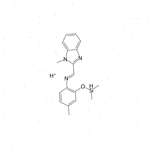 Cc1ccc(N=Cc2nc3ccccc3n2C)c(O[SiH](C)C)c1.[H+]